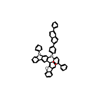 c1ccc(-c2ccc(N(c3ccc(-c4ccc5cc(-c6ccccc6)ccc5c4)cc3)c3cc4c(cc3-c3cccc5c3oc3ccccc35)c3ccccc3n4-c3ccccc3)cc2)cc1